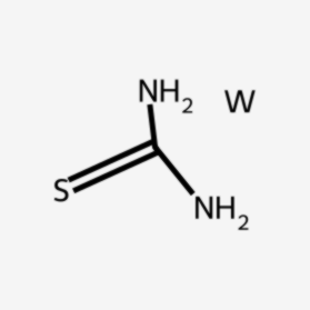 NC(N)=S.[W]